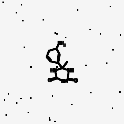 BC1C=C(C2(C)NC(=O)NC(=O)N2)C=CC1